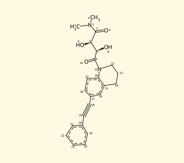 CN(C)C(=O)[C@H](O)[C@@H](O)C(=O)N1CCCc2cc(C#Cc3ccccc3)ccc21